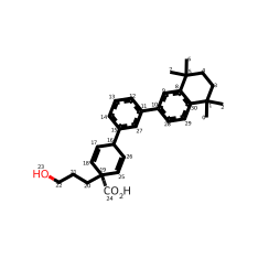 CC1(C)CCC(C)(C)c2cc(-c3cccc(C4C=CC(CCCO)(C(=O)O)C=C4)c3)ccc21